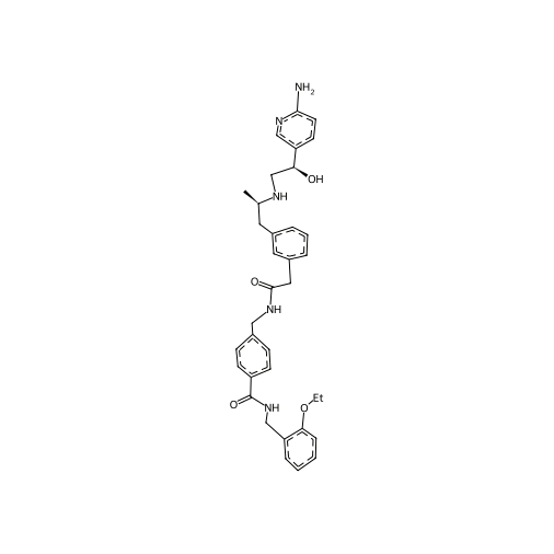 CCOc1ccccc1CNC(=O)c1ccc(CNC(=O)Cc2cccc(C[C@@H](C)NC[C@H](O)c3ccc(N)nc3)c2)cc1